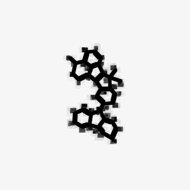 CC1CC=C2C3=C(c4cccc1c42)C(C)(C)c1ccc(-n2c4ccccc4c4ccccc42)cc13